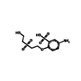 Nc1ccc(OCCS(=O)(=O)CCO)c(S(=O)(=O)O)c1